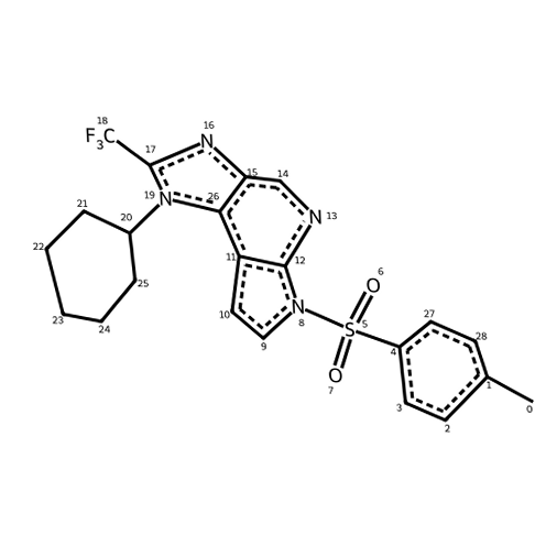 Cc1ccc(S(=O)(=O)n2ccc3c2ncc2nc(C(F)(F)F)n(C4CCCCC4)c23)cc1